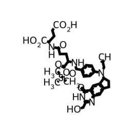 C#CCN(c1ccc(C(=O)NC(CCC(=O)NC(CCC(=O)O)C(=O)O)C(=O)O[Si](C)(C)C)cc1)C1CCc2cc3nc(CO)[nH]c(=O)c3cc21